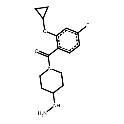 NNC1CCN(C(=O)c2ccc(F)cc2OC2CC2)CC1